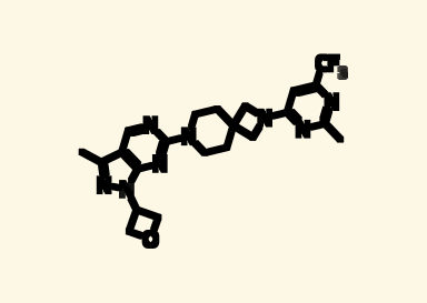 Cc1nc(N2CC3(CCN(c4ncc5c(C)nn(C6COC6)c5n4)CC3)C2)cc(C(F)(F)F)n1